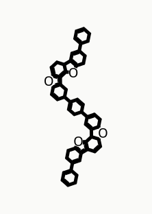 C1=CCCC(C2=CC3=C(CC2)OC2=c4c5c(oc4=CCC32)C=CC(C2=CCC(C3=CCC4OC6C=Cc7c(oc8c7C=C(C7=CC=CCC7)CC8)C6C4=C3)C=C2)C5)=C1